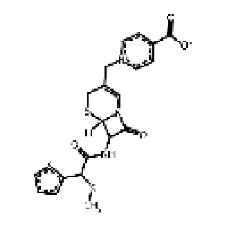 CSC(C(=O)NC1C(=O)N2C=C(C[n+]3ccc(C(=O)[O-])cc3)CS[C@@H]12)c1cccs1